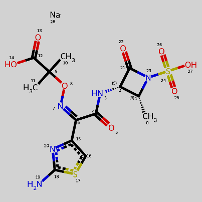 C[C@@H]1[C@H](NC(=O)C(=NOC(C)(C)C(=O)O)c2csc(N)n2)C(=O)N1S(=O)(=O)O.[Na]